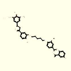 COc1cc(C2NC(=O)c3cc(Cl)ccc3N2)ccc1OCCCCCOc1cc(C2=NOC(c3cc(OC)c(OC)c(OC)c3)C2)ccc1OC